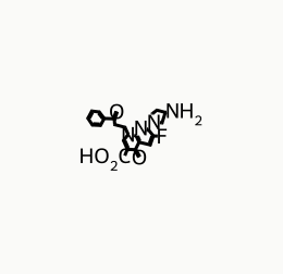 NC1CCN(c2nc3c(cc2F)c(=O)c(C(=O)O)cn3CCC(=O)c2ccccc2)C1